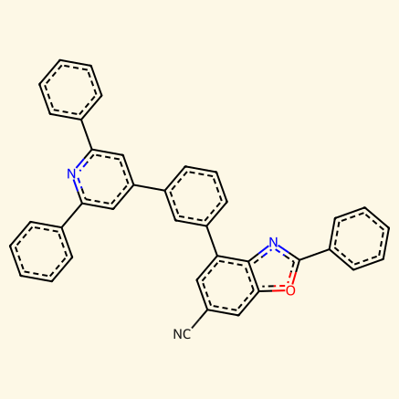 N#Cc1cc(-c2cccc(-c3cc(-c4ccccc4)nc(-c4ccccc4)c3)c2)c2nc(-c3ccccc3)oc2c1